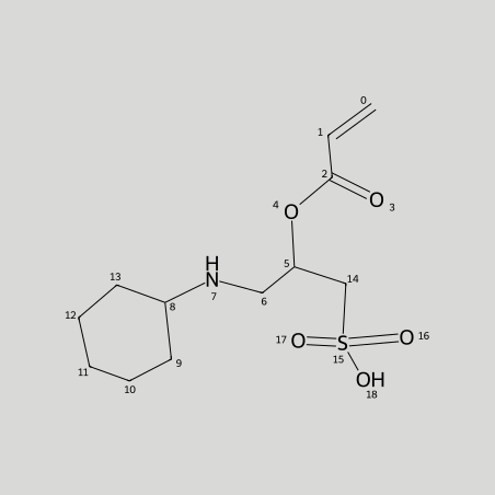 C=CC(=O)OC(CNC1CCCCC1)CS(=O)(=O)O